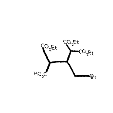 CCOC(=O)C(C(=O)O)C(CC(C)C)C(C(=O)OCC)C(=O)OCC